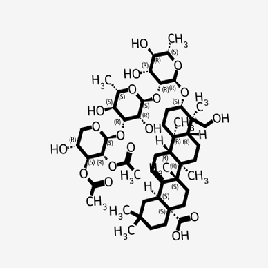 CC(=O)O[C@@H]1[C@@H](OC(C)=O)[C@H](O[C@@H]2[C@@H](O)[C@H](C)O[C@@H](O[C@H]3[C@H](O[C@H]4CC[C@@]5(C)[C@@H](CC[C@]6(C)[C@@H]5CC=C5[C@@H]7CC(C)(C)CC[C@]7(C(=O)O)CC[C@]56C)[C@]4(C)CO)O[C@@H](C)[C@H](O)[C@H]3O)[C@@H]2O)OC[C@H]1O